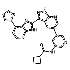 O=C(Nc1cncc(-c2cnc3[nH]nc(-c4nc5c(-c6cccs6)ccnc5[nH]4)c3c2)c1)C1CCC1